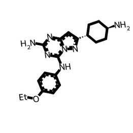 CCOc1ccc(Nc2nc(N)nc3cc([C@H]4CC[C@H](N)CC4)nn23)cc1